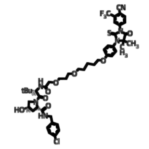 CC(C)(C)[C@H](NC(=O)COCCCOCCCCCOc1ccc(N2C(=S)N(c3ccc(C#N)c(C(F)(F)F)c3)C(=O)C2(C)C)cc1)C(=O)N1C[C@H](O)C[C@H]1C(=O)NCc1ccc(Cl)cc1